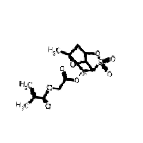 C=C(C)C(=O)OCC(=O)O[C@H]1C2C3OC1(C)CC3OS2(=O)=O